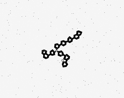 c1cc(-c2ccc(-c3ccc(-c4ccc5ccccc5c4)cc3)cc2)cc(N(c2ccc(-c3cccc4ccccc34)cc2)c2ccc(-c3cccc4c3oc3ccccc34)cc2)c1